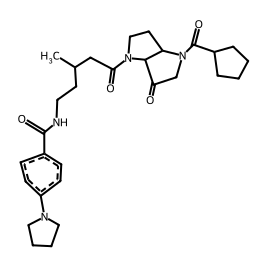 CC(CCNC(=O)c1ccc(N2CCCC2)cc1)CC(=O)N1CCC2C1C(=O)CN2C(=O)C1CCCC1